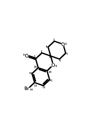 O=C1CC2(CCOCC2)Oc2ccc(Br)cc21